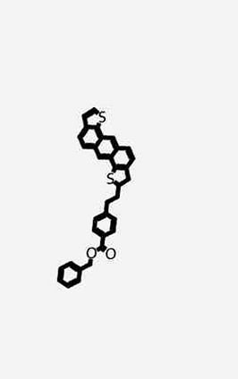 O=C(OCc1ccccc1)c1ccc(CCC2Cc3ccc4cc5c(ccc6ccsc65)cc4c3S2)cc1